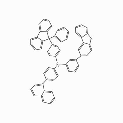 c1ccc(C2(c3ccc(N(c4ccc(-c5cccc6ccccc56)cc4)c4cccc(-c5ccc6sc7ccccc7c6c5)c4)cc3)c3ccccc3-c3ccccc32)cc1